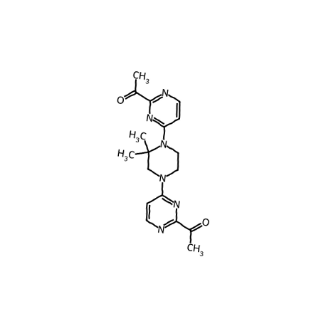 CC(=O)c1nccc(N2CCN(c3ccnc(C(C)=O)n3)C(C)(C)C2)n1